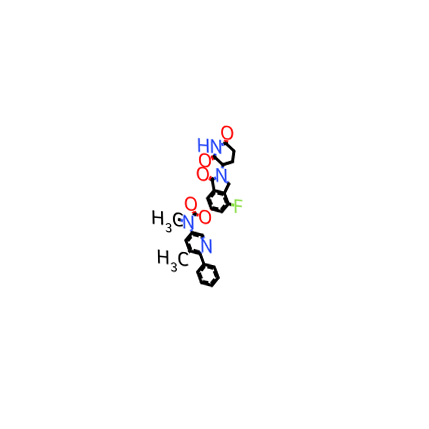 Cc1cc(N(C)C(=O)Oc2cc(F)c3c(c2)C(=O)N(C2CCC(=O)NC2=O)C3)cnc1-c1ccccc1